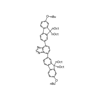 CCCCCCCCC1(CCCCCCCC)c2cc(OCCCC)ccc2-c2ccc(-c3ccc(-c4ccc5c(c4)C(CCCCCCCC)(CCCCCCCC)c4cc(OCCCC)ccc4-5)c4nsnc34)cc21